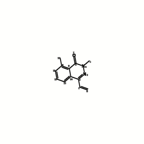 C=Cc1nn(C)c(=O)c2c(C)cccc12